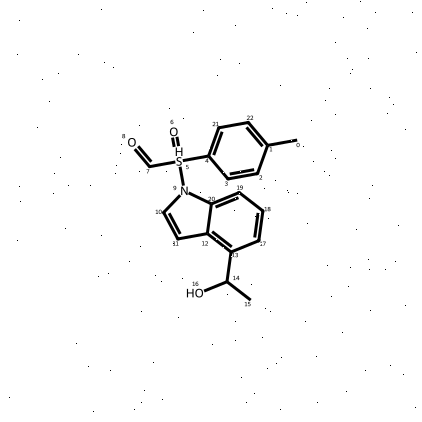 Cc1ccc([SH](=O)(C=O)n2ccc3c(C(C)O)cccc32)cc1